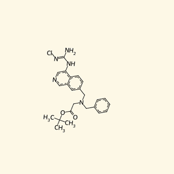 CC(C)(C)OC(=O)CN(Cc1ccccc1)Cc1ccc2c(NC(N)=NCl)cncc2c1